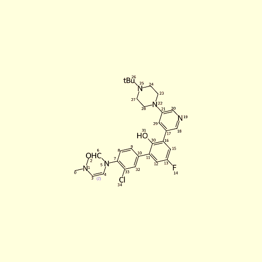 CN(C)/C=C\N(C=O)c1ccc(-c2cc(F)cc(-c3cncc(N4CCN(C(C)(C)C)CC4)c3)c2O)cc1Cl